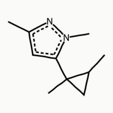 Cc1cc(C2(C)CC2C)n(C)n1